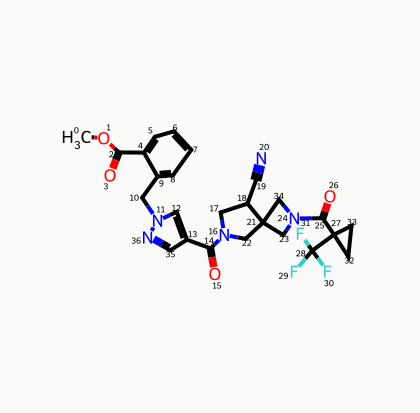 COC(=O)c1ccccc1Cn1cc(C(=O)N2CC(C#N)C3(C2)CN(C(=O)C2(C(F)(F)F)CC2)C3)cn1